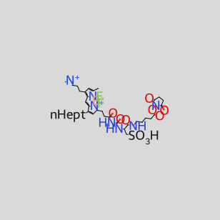 CCCCCCCC1=CC(CCC(=O)NC(=O)NC(CS(=O)(=O)O)C(=O)NCCCCC(=O)ON2C(=O)CCC2=O)=[N+]2C1=Cc1c(CCC[N+](C)(C)C)cc(C)n1[B-]2(F)F